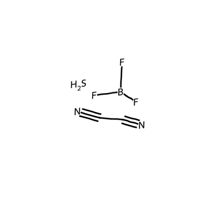 FB(F)F.N#CC#N.S